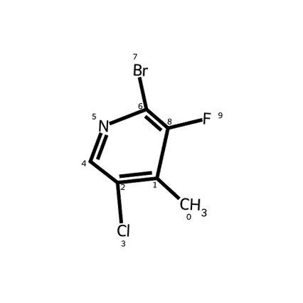 Cc1c(Cl)cnc(Br)c1F